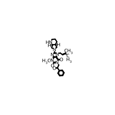 CC(C)=CCn1c(N2C[C@@H]3CCCN[C@@H]3C2)nc2c1c(=O)n(CC(=O)c1ccccc1)c(=O)n2C